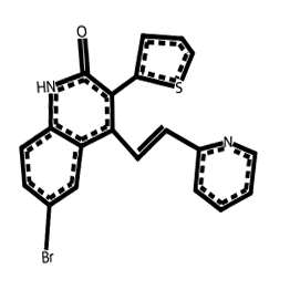 O=c1[nH]c2ccc(Br)cc2c(/C=C/c2ccccn2)c1-c1cccs1